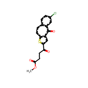 COC(=O)CCC(=O)c1cc2c(=O)c3cc(Cl)ccc3ccc2s1